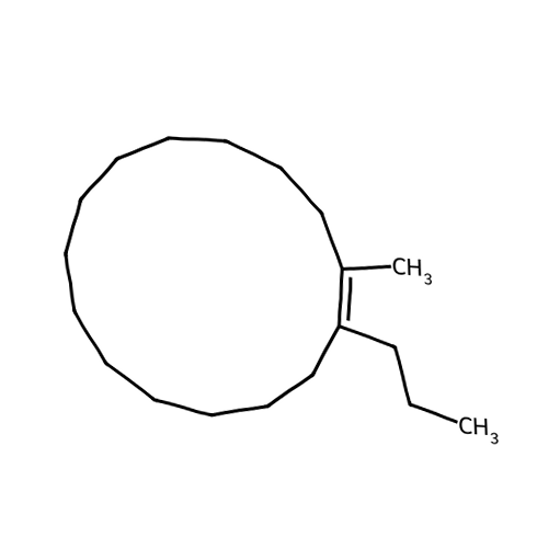 CCCC1=C(C)CCCCCCCCCCCCC1